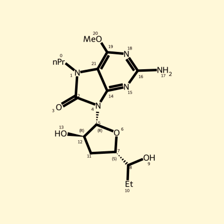 CCCn1c(=O)n([C@@H]2O[C@H](C(O)CC)C[C@H]2O)c2nc(N)nc(OC)c21